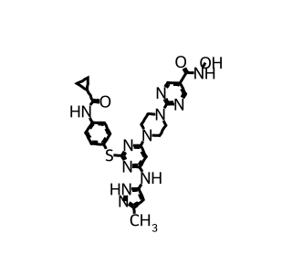 Cc1cc(Nc2cc(N3CCN(c4ncc(C(=O)NO)cn4)CC3)nc(Sc3ccc(NC(=O)C4CC4)cc3)n2)[nH]n1